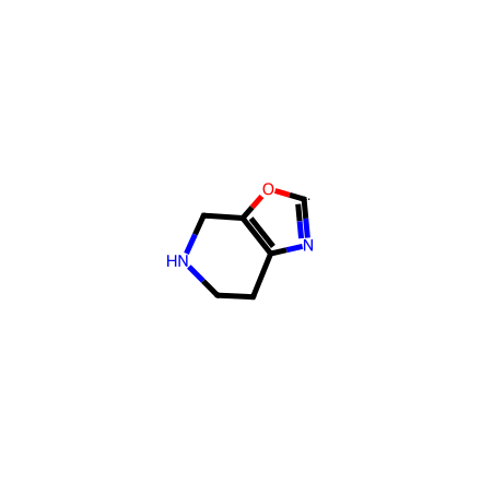 [c]1nc2c(o1)CNCC2